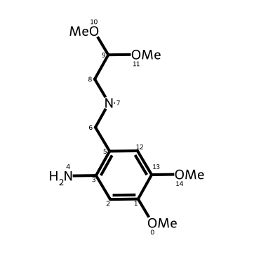 COc1cc(N)c(C[N]CC(OC)OC)cc1OC